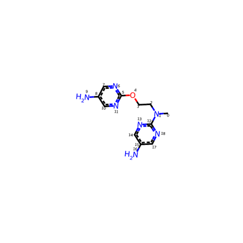 CN(CCOc1ncc(N)cn1)c1ncc(N)cn1